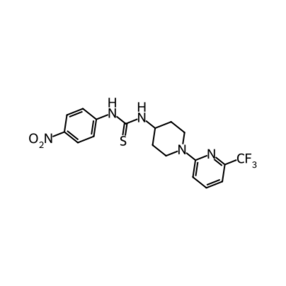 O=[N+]([O-])c1ccc(NC(=S)NC2CCN(c3cccc(C(F)(F)F)n3)CC2)cc1